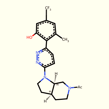 CC(=O)N1CC[C@H]2CCN(c3ccc(-c4c(C)cc(C(F)(F)F)cc4O)nn3)[C@H]2C1